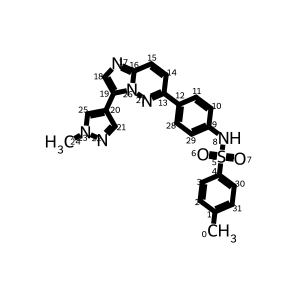 Cc1ccc(S(=O)(=O)Nc2ccc(-c3ccc4ncc(-c5cnn(C)c5)n4n3)cc2)cc1